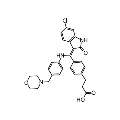 O=C(O)CCc1ccc(C(Nc2ccc(CN3CCOCC3)cc2)=C2C(=O)Nc3cc(Cl)ccc32)cc1